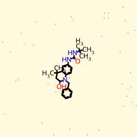 CC(C)(C)NC(=O)Nc1ccc2c(c1)C(C)(C)CC(O)N2Cc1ccccc1